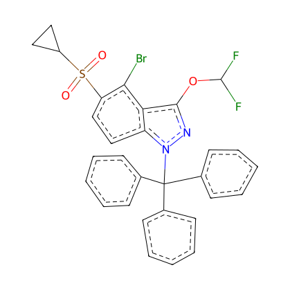 O=S(=O)(c1ccc2c(c(OC(F)F)nn2C(c2ccccc2)(c2ccccc2)c2ccccc2)c1Br)C1CC1